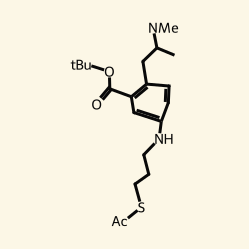 CNC(C)Cc1ccc(NCCCSC(C)=O)cc1C(=O)OC(C)(C)C